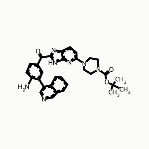 CC(C)(C)OC(=O)N1CCN(c2ccc3nc(C(=O)c4ccc(N)c(-c5cncc6ccccc56)c4)[nH]c3n2)CC1